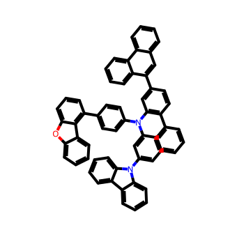 c1ccc(-c2ccc(-c3cc4ccccc4c4ccccc34)cc2N(c2ccc(-c3cccc4oc5ccccc5c34)cc2)c2cccc(-n3c4ccccc4c4ccccc43)c2)cc1